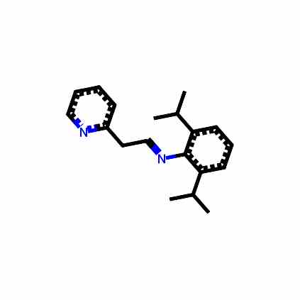 CC(C)c1cccc(C(C)C)c1N=CCc1ccccn1